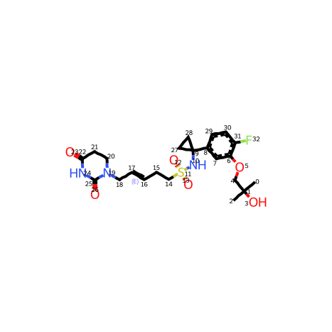 CC(C)(O)COc1cc(C2(NS(=O)(=O)CC/C=C/CN3CCC(=O)NC3=O)CC2)ccc1F